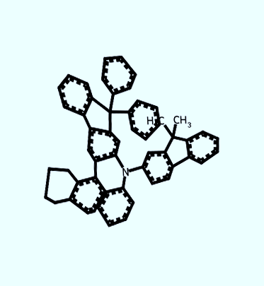 CC1(C)c2ccccc2-c2ccc(N(c3ccccc3)c3cc4c(cc3-c3cccc5c3CCCC5)-c3ccccc3C4(c3ccccc3)c3ccccc3)cc21